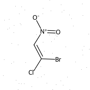 O=[N+]([O-])C=C(Cl)Br